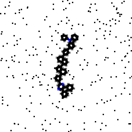 c1ccc(-n2c3ccccc3c3ccc(-c4ccc(-c5cccc6c(-c7cccc8c(-c9cccc(-c%10cnc%11c%12ccccc%12c%12ccccc%12c%11n%10)c9)cccc78)cccc56)cc4)cc32)cc1